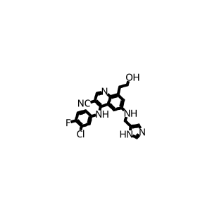 N#Cc1cnc2c(CCO)cc(NCc3cnc[nH]3)cc2c1Nc1ccc(F)c(Cl)c1